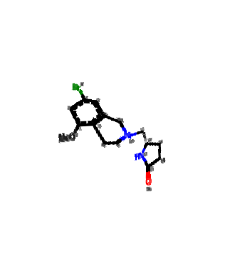 COc1cc(Br)cc2c1CCN(C[C@@H]1CCC(=O)N1)C2